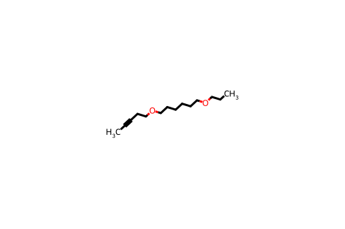 CC#CCCOCCCCCCOCCC